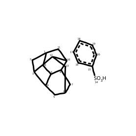 C1C2CC3C4CC5CC(C14)C(C2)C3C5.O=S(=O)(O)c1ccccc1